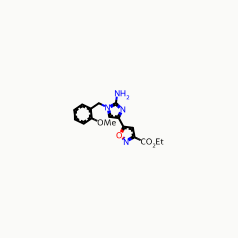 CCOC(=O)c1cc(-c2cn(Cc3ccccc3OC)c(N)n2)on1